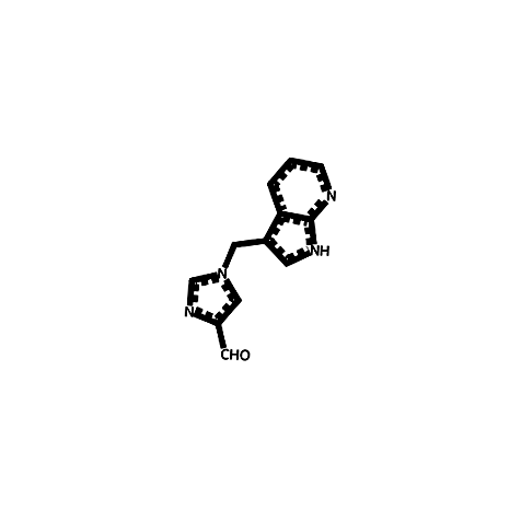 O=Cc1cn(Cc2c[nH]c3ncccc23)cn1